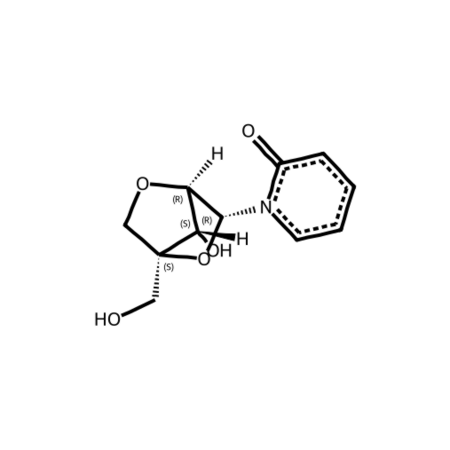 O=c1ccccn1[C@@H]1O[C@@]2(CO)CO[C@@H]1[C@@H]2O